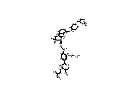 COCCOc1cc(C(=O)NC(CCC(N)=O)C(=O)OC)ccc1NCC#Cc1sc2c(NC3CCN(CC4COC(=O)O4)CC3)cccc2c1CC(F)(F)F